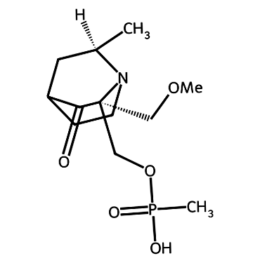 COC[C@]1(COP(C)(=O)O)C(=O)C2CCN1[C@H](C)C2